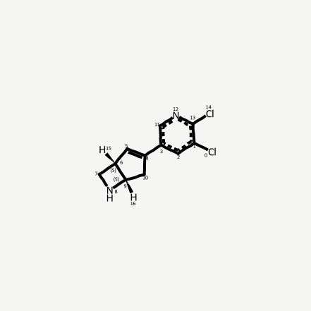 Clc1cc(C2=C[C@H]3CN[C@H]3C2)cnc1Cl